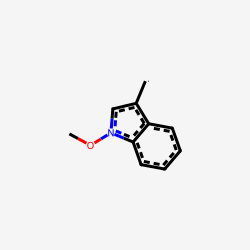 [CH2]c1cn(OC)c2ccccc12